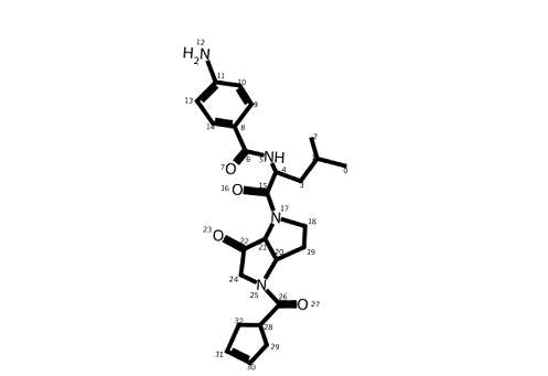 CC(C)CC(NC(=O)c1ccc(N)cc1)C(=O)N1CCC2C1C(=O)CN2C(=O)C1CC=CC1